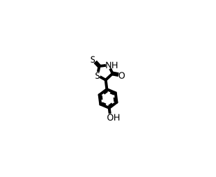 O=C1NC(=S)SC1c1ccc(O)cc1